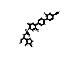 C#Cc1ccc(-c2ccc(-c3cc(C)c(NC(=C)CC(CC)C4CCC(C)C4C)cc3C)cc2)c(F)c1